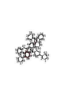 c1ccc(-c2ccc(N(c3ccc(-c4ccccc4)cc3)c3ccc(-c4ccccc4-n4c5ccccc5c5ccccc54)cc3-c3cc4ccccc4c4ccccc34)cc2)cc1